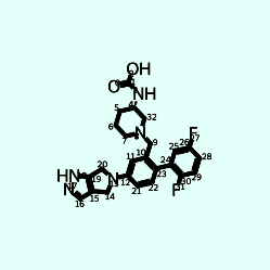 O=C(O)N[C@H]1CCCN(Cc2cc(N3Cc4cn[nH]c4C3)ccc2-c2cc(F)ccc2F)C1